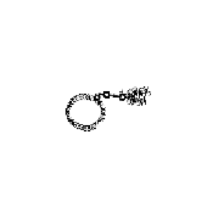 CNC(=O)C(C(=O)NO)N(C)C(=O)c1ccc(C#Cc2ccc(CN3CC4(CCCCCCCCCCCCCCCCCCCCCCCCCCCCCC4)C3)cc2)cc1